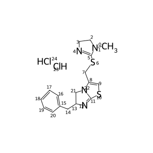 CN1CCN=C1SCC1=CSC2=NC(Cc3ccccc3)CN12.Cl.Cl